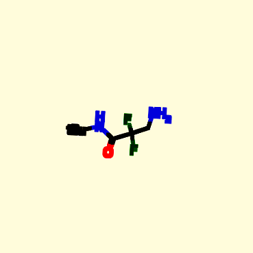 CC(C)(C)NC(=O)C(F)(F)CN